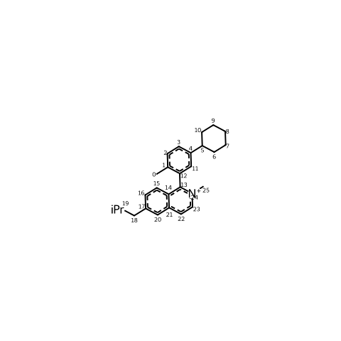 Cc1ccc(C2CCCCC2)cc1-c1c2ccc(CC(C)C)cc2cc[n+]1C